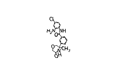 CC1(c2cccc(C(=O)Nc3ccc(Cl)cc3N)c2)COCC(=O)N1